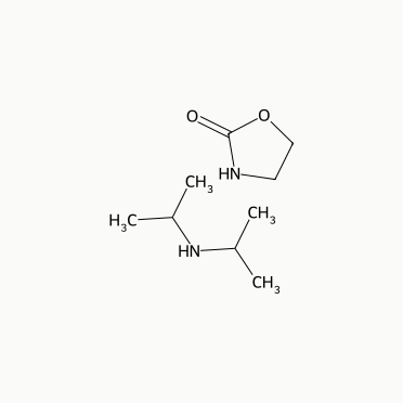 CC(C)NC(C)C.O=C1NCCO1